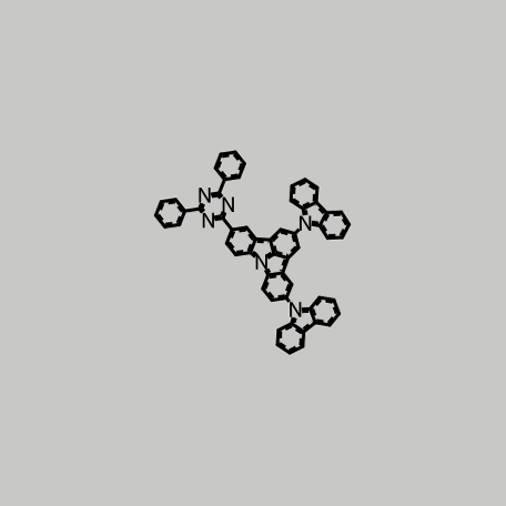 c1ccc(-c2nc(-c3ccccc3)nc(-c3ccc4c(c3)c3cc(-n5c6ccccc6c6ccccc65)cc5c6cc(-n7c8ccccc8c8ccccc87)ccc6n4c35)n2)cc1